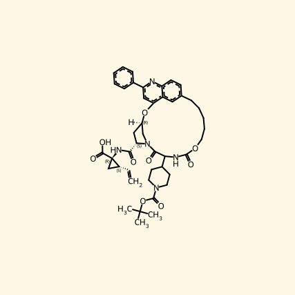 C=C[C@@H]1C[C@]1(NC(=O)[C@@H]1C[C@@H]2CN1C(=O)C(C1CCN(C(=O)OC(C)(C)C)CC1)NC(=O)OCCCCCc1ccc3nc(-c4ccccc4)cc(c3c1)O2)C(=O)O